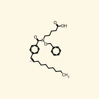 CCCCCCCC/C=C\c1ccc(C(=O)N(CCCCC(=O)O)OCc2ccccc2)cc1